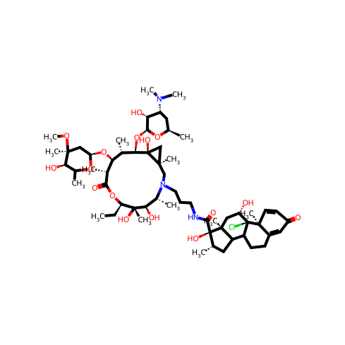 CC[C@H]1OC(=O)[C@H](C)[C@@H](O[C@@H]2C[C@](C)(OC)[C@H](O)C(C)O2)[C@H](C)[C@@H](O[C@@H]2O[C@H](C)C[C@@H](N(C)C)[C@H]2O)[C@]2(O)C[C@@]2(C)CN(CCCNC(=O)[C@@]2(O)[C@@H](C)CC3C4CCC5=CC(=O)C=C[C@]5(C)[C@@]4(Cl)[C@@H](O)C[C@@]32C)[C@H](C)[C@@H](O)[C@]1(C)O